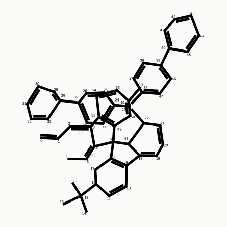 C=C/C=C1\C(=C/C)C2(C3=C(C=CC(C(C)(C)C)C3)C3=CC=CC(N(c4ccc(-c5ccccc5)cc4)c4ccc(-c5ccccc5)cc4)C32)c2cc(C)ccc21